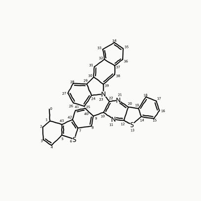 CC1CC=Cc2sc3cc(-c4nc5sc6ccccc6c5nc4-n4c5ccccc5c5cc6ccccc6cc54)ccc3c21